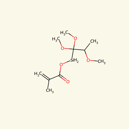 C=C(C)C(=O)O[SiH2]C(OC)(OC)C(C)OC